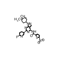 CC1(C)CCC(n2ncc3c(NC(=O)c4ccc([N+](=O)[O-])s4)nc(-c4ccc(F)nc4)nc32)CC1